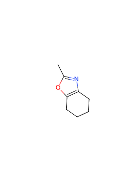 Cc1nc2c(o1)CCCC2